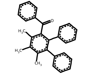 Cc1c(C)c(C(=O)c2ccccc2)c(-c2ccccc2)c(-c2ccccc2)c1C